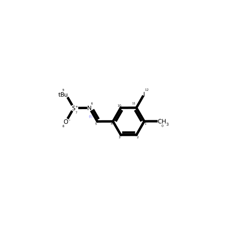 Cc1ccc(/C=N/[S+]([O-])C(C)(C)C)cc1I